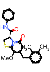 COc1c(Cc2cccc(C)c2C)cc(=O)n2c1SC[C@H]2C(=O)Nc1ccccc1